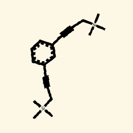 C[Si](C)(C)CC#Cc1cccc(C#CC[Si](C)(C)C)c1